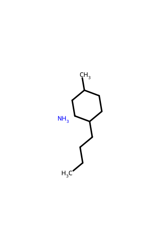 CCCCC1CCC(C)CC1.N